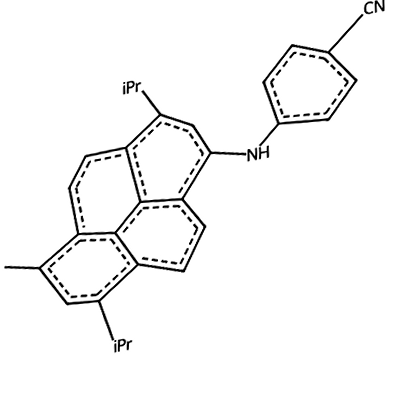 Cc1cc(C(C)C)c2ccc3c(Nc4ccc(C#N)cc4)cc(C(C)C)c4ccc1c2c34